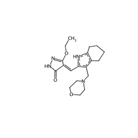 CCOC1=NNC(=O)C1=Cc1[nH]c2c(c1CN1CCOCC1)CCCC2